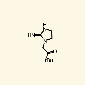 CC(C)(C)C(=O)CN1CCNC1=N